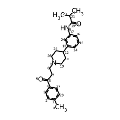 Cc1ccc(C(=O)CCN2CCC(c3cccc(NC(=O)C(C)C)c3)CC2)cc1